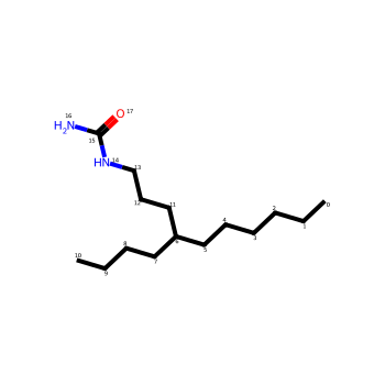 CCCCCCC(CCCC)CCCNC(N)=O